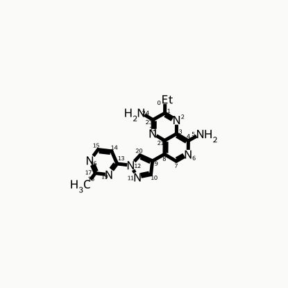 CCc1nc2c(N)ncc(-c3cnn(-c4ccnc(C)n4)c3)c2nc1N